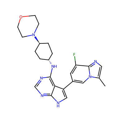 Cc1cnc2c(F)cc(-c3c[nH]c4ncnc(N[C@H]5CC[C@H](N6CCOCC6)CC5)c34)cn12